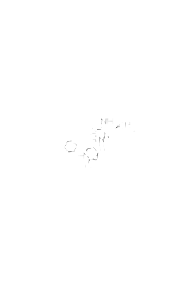 C=CCN(NC(=O)c1ccc(=O)n(Cc2ccccc2)c1)C(N)=S